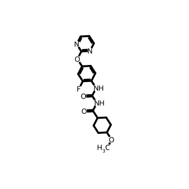 COC1CCC(C(=O)NC(=O)Nc2ccc(Oc3ncccn3)cc2F)CC1